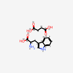 NC(Cc1c[nH]c2ccccc12)C(=O)O.O=C(O)CCC(=O)O